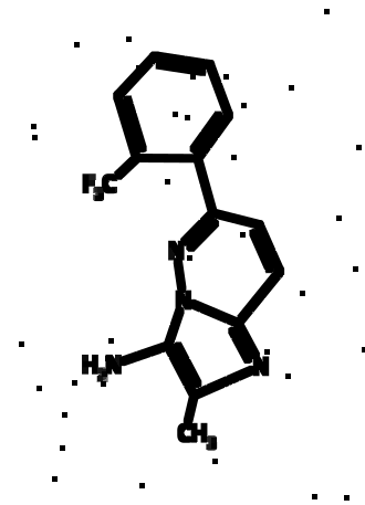 Cc1nc2ccc(-c3ccccc3C(F)(F)F)nn2c1N